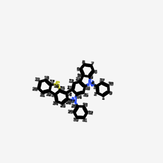 c1ccc(-n2c3ccccc3c3cc4c5c6sc7ccccc7c6ccc5n(-c5ccccc5)c4cc32)cc1